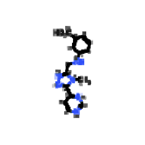 Cn1c(CNc2cccc(C(=O)O)c2)nnc1-c1ccncn1